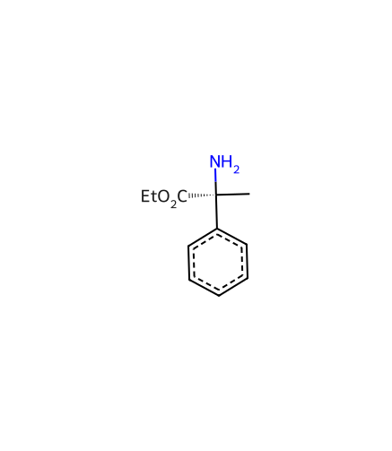 CCOC(=O)[C@@](C)(N)c1ccccc1